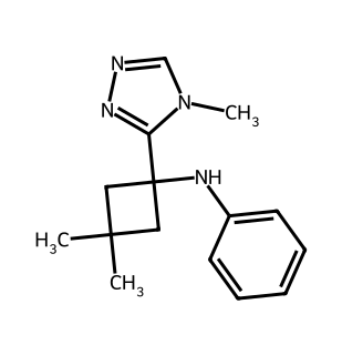 Cn1cnnc1C1(Nc2ccccc2)CC(C)(C)C1